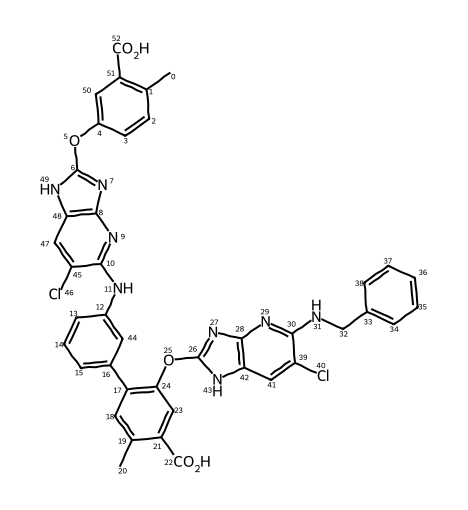 Cc1ccc(Oc2nc3nc(Nc4cccc(-c5cc(C)c(C(=O)O)cc5Oc5nc6nc(NCc7ccccc7)c(Cl)cc6[nH]5)c4)c(Cl)cc3[nH]2)cc1C(=O)O